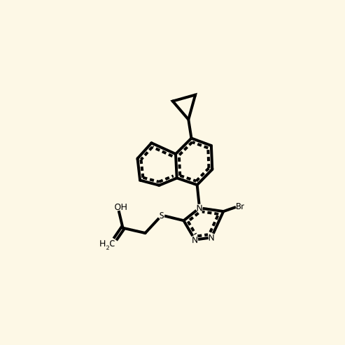 C=C(O)CSc1nnc(Br)n1-c1ccc(C2CC2)c2ccccc12